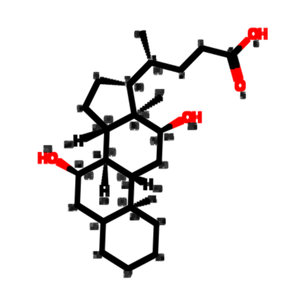 C[C@H](CCC(=O)O)[C@H]1CC[C@H]2[C@@H]3[C@H](O)CC4CCCC[C@]4(C)[C@H]3C[C@H](O)[C@]12C